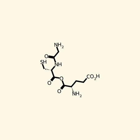 NCC(=O)N[C@@H](CS)C(=O)OC(=O)[C@@H](N)CCC(=O)O